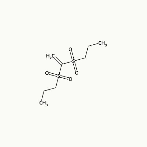 C=C(S(=O)(=O)CCC)S(=O)(=O)CCC